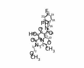 COCCN1CC2=C(C)OCc3c(C(=O)NCc4ccc(F)cc4F)c(=O)c(O)c(n32)C1=O